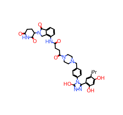 CC(C)c1cc(-c2nnc(O)n2-c2ccc(CN3CCN(C(=O)CCC(=O)Nc4cccc5c4CN(C4CCC(=O)NC4=O)C5=O)CC3)cc2)c(O)cc1O